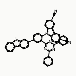 N#Cc1ccc2c(c1)c1cc(C#N)ccc1n2-c1ccc(-c2ccc3c(c2)sc2ccccc23)cc1-c1nc(-c2ccccc2)nc(-c2ccccc2)n1